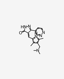 Cc1[nH]c(/C=C2/C(=O)NN=C2c2ccnnc2)c(C)c1CN(C)C